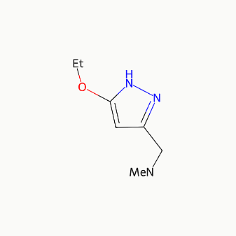 CCOc1cc(CNC)n[nH]1